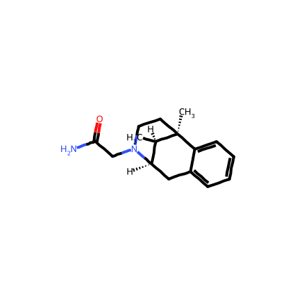 C[C@@H]1[C@H]2Cc3ccccc3[C@]1(C)CCN2CC(N)=O